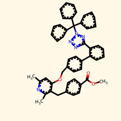 COC(=O)c1ccc(Cc2c(OCc3ccc(-c4ccccc4-c4nnn(C(c5ccccc5)(c5ccccc5)c5ccccc5)n4)cc3)cc(C)nc2C)cc1